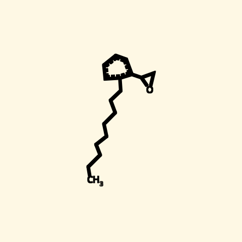 CCCCCCCCCc1ccccc1C1CO1